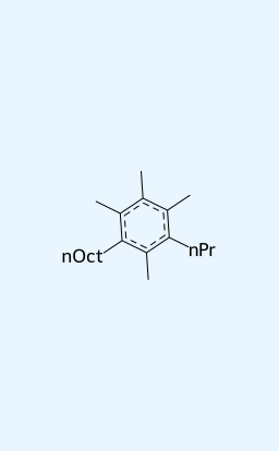 CCCCCCCCc1c(C)c(C)c(C)c(CCC)c1C